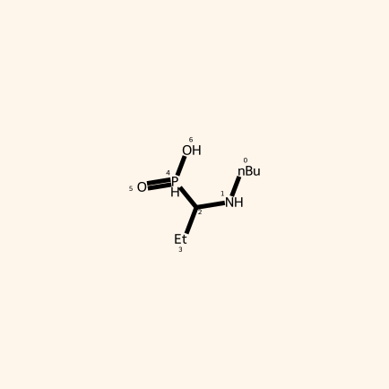 CCCCNC(CC)[PH](=O)O